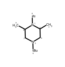 CC(C)N1C(C)CN(C(C)(C)C)CC1C